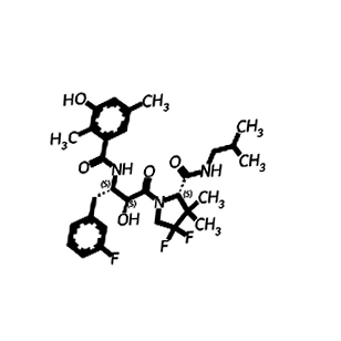 Cc1cc(O)c(C)c(C(=O)N[C@@H](Cc2cccc(F)c2)[C@H](O)C(=O)N2CC(F)(F)C(C)(C)[C@H]2C(=O)NCC(C)C)c1